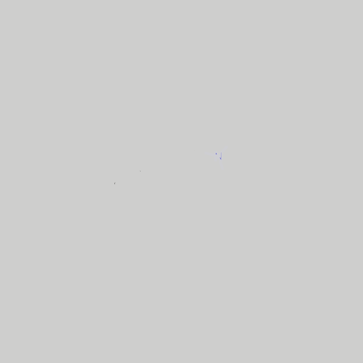 C#CCN(C)CCCC12CC(c3ccccc31)c1ccccc12